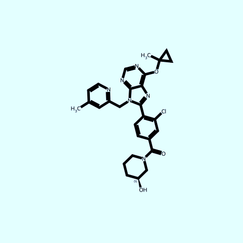 Cc1ccnc(Cn2c(-c3ccc(C(=O)N4CCC[C@H](O)C4)cc3Cl)nc3c(OC4(C)CC4)ncnc32)c1